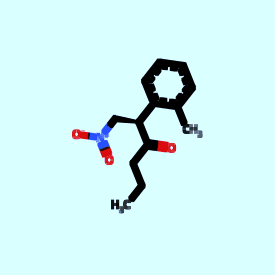 CCCC(=O)[C@@H](C[N+](=O)[O-])c1ccccc1C